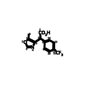 Cc1ocnc1C(C(=O)O)c1ccc(C(F)(F)F)cc1